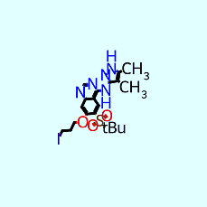 Cc1[nH]nc(Nc2ncnc3cc(OCCCI)c(S(=O)(=O)C(C)(C)C)cc23)c1C